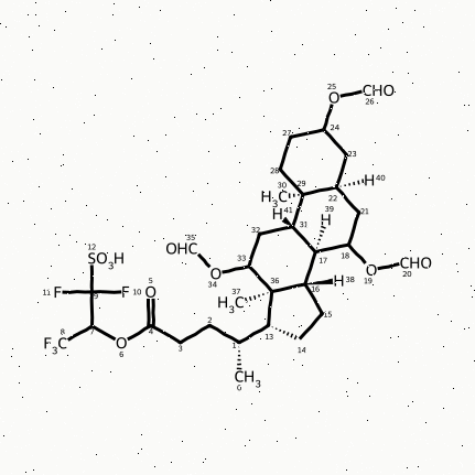 C[C@H](CCC(=O)OC(C(F)(F)F)C(F)(F)S(=O)(=O)O)[C@H]1CC[C@H]2[C@@H]3C(OC=O)C[C@@H]4CC(OC=O)CC[C@]4(C)[C@H]3CC(OC=O)[C@]12C